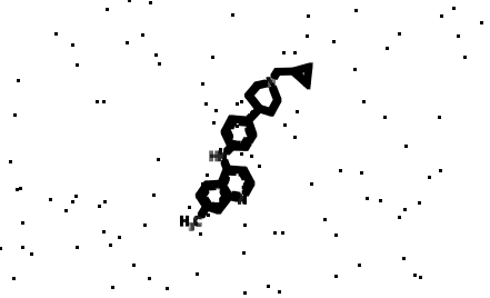 Cc1ccc2c(Nc3ccc(C4CCN(CC5CC5)CC4)cc3)ccnc2c1